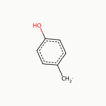 [CH2]c1ccc(O)cc1